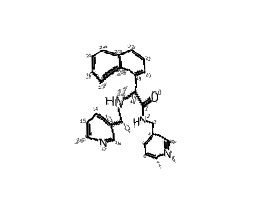 O=C(NCc1cccnc1)C(NCc1cccnc1)c1cccc2ccccc12